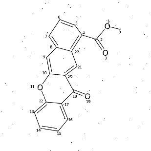 COC(=O)c1cccc2cc3oc4ccccc4c(=O)c3cc12